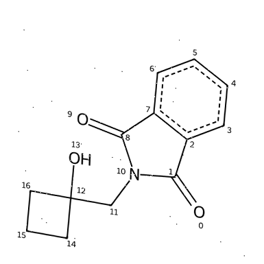 O=C1c2ccccc2C(=O)N1CC1(O)CCC1